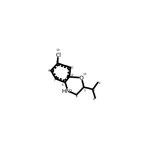 CC(C)C1CNc2ccc(Cl)cc2O1